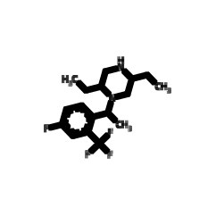 CCC1CN(C(C)c2ccc(F)cc2C(F)(F)F)C(CC)CN1